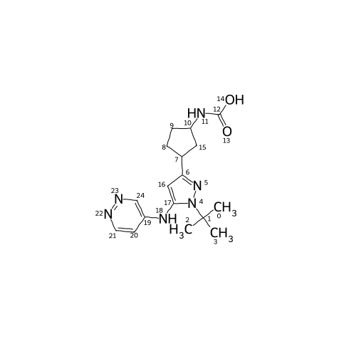 CC(C)(C)n1nc(C2CCC(NC(=O)O)C2)cc1Nc1ccnnc1